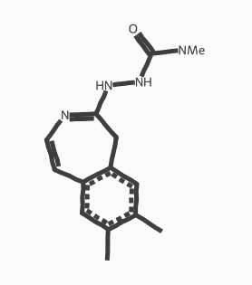 CNC(=O)NNC1=NC=Cc2cc(C)c(C)cc2C1